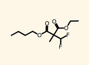 CCCCOC(=O)C(C)(C(=O)OCC)C(F)F